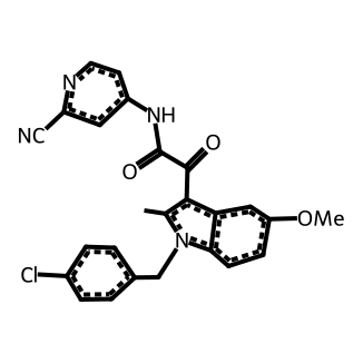 COc1ccc2c(c1)c(C(=O)C(=O)Nc1ccnc(C#N)c1)c(C)n2Cc1ccc(Cl)cc1